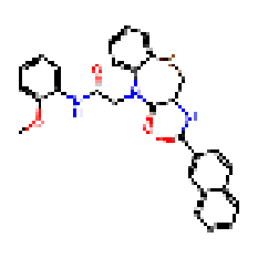 COc1ccccc1NC(=O)CN1C(=O)C(NC(=O)c2ccc3ccccc3c2)CSc2ccccc21